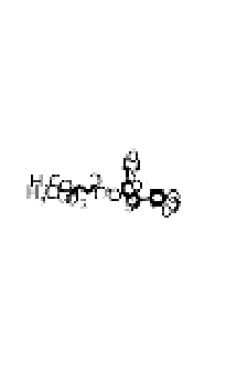 CC(C)(C)OC(=O)CCC(=O)OCOc1cc(N2CCOCC2)[o+]c2c(-c3ccc4c(c3)OCCO4)csc12